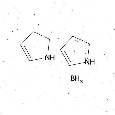 B.C1=CNCC1.C1=CNCC1